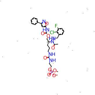 COP(=O)(OC)OCCNC(=O)NCCC[C@@H](COC(=O)Nc1cc(-c2ccccc2)no1)N(NCc1cccc(F)c1Cl)C(C)=O